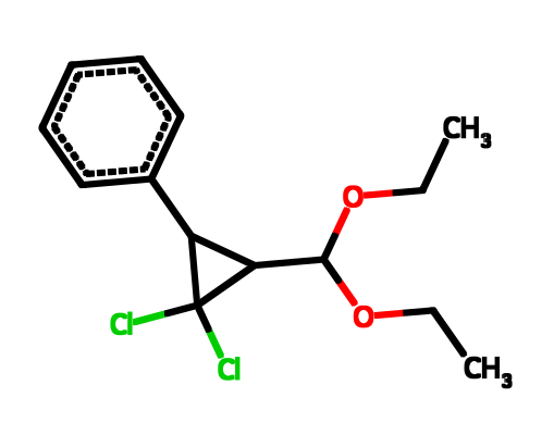 CCOC(OCC)C1C(c2ccccc2)C1(Cl)Cl